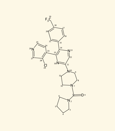 O=C(N1CCCC1)N1CCN(c2cnc(-c3ccc(C(F)(F)F)cc3)c(-c3ccncc3Cl)n2)CC1